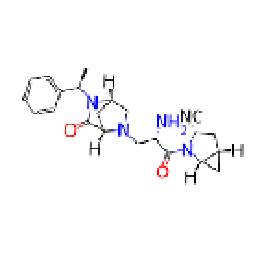 C[C@H](c1ccccc1)N1C(=O)[C@@H]2C[C@H]1CN2C[C@H](N)C(=O)N1[C@H](C#N)C[C@@H]2C[C@@H]21